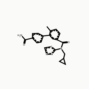 Cc1ccc(C(=O)N(CC2CC2)c2nncs2)cc1-c1ccc(C(N)=O)cc1